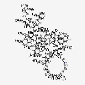 C[C@@H]1NC(=O)C(C)(C)CCC/C=C\CCC[C@@](C)(C(=O)N[C@@H](N[C@@H](C=O)Cc2ccccc2)C(=O)N[C@@H](N[C@@H](C=O)CC(N)=O)C(=O)N[C@@H](N[C@@H](C)C=O)C(=O)N[C@@H](N[C@@H](C=O)Cc2ccc(O)cc2)C(=O)N[C@@H](N[C@@H](C=O)Cc2ccc(O)cc2)C(=O)N[C@@H](N[C@@H](C)C=O)C(=O)N[C@@H](N[C@@H](C=O)CCCNC(=N)N)C(=O)N[C@@H](N[C@@H](C=O)CCCNC(=N)N)C(N)=O)NC(=O)[C@H](N[C@@H](C=O)CC(=O)O)NC(=O)CNC1=O